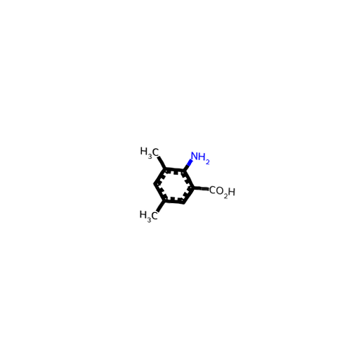 Cc1cc(C)c(N)c(C(=O)O)c1